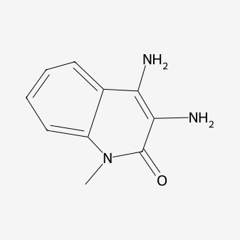 Cn1c(=O)c(N)c(N)c2ccccc21